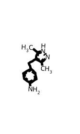 Cc1n[nH]c(C)c1Cc1ccc(N)cc1